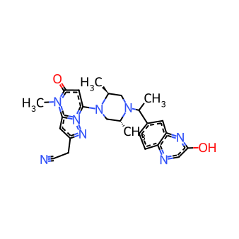 CC(c1ccc2ncc(O)nc2c1)N1C[C@H](C)N(c2cc(=O)n(C)c3cc(CC#N)nn23)C[C@H]1C